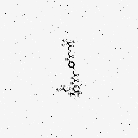 CO[C@H]1[C@H](C2(C)O[C@@H]2CC=C(C)C)[C@]2(CC[C@H]1NC(=O)NC(=O)CSc1ccc(NC(=O)COCC(=O)C(C)(C)C)cc1)CO2